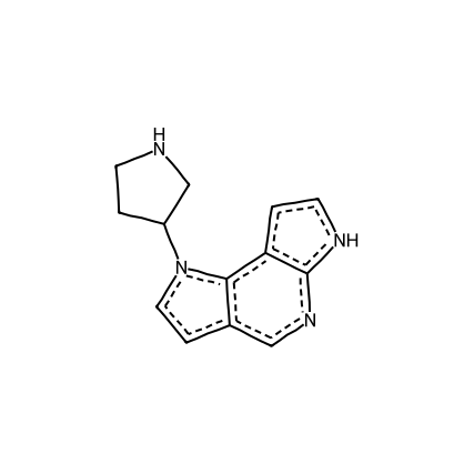 c1cc2c(ncc3ccn(C4CCNC4)c32)[nH]1